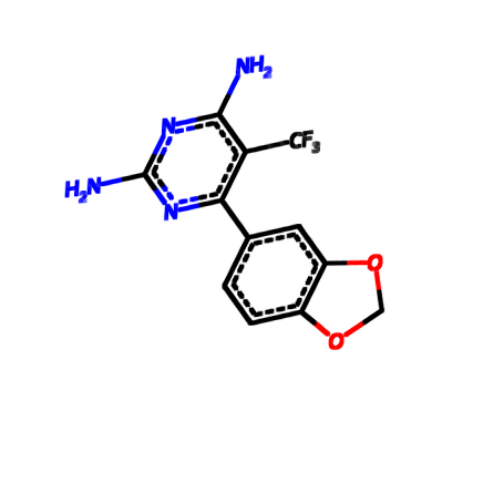 Nc1nc(N)c(C(F)(F)F)c(-c2ccc3c(c2)OCO3)n1